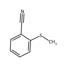 CSc1ccccc1C#N